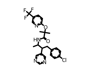 CC(NC(=O)C(C)(C)Oc1ccc(C(F)(F)F)cn1)C(Cc1ccc(Cl)cc1)c1cncnc1